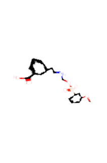 COc1cccc(S(=O)(=O)OCNCCc2cccc(C(=O)O)c2)c1